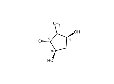 CC1[C@@H](C)[C@H](O)C[C@@H]1O